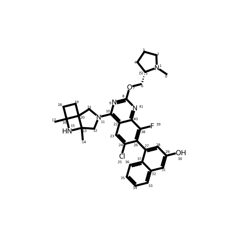 CN1CCC[C@H]1COc1nc(N2CC3(C)NC4(C)CCC43C2)c2cc(Cl)c(-c3cc(O)cc4ccccc34)c(F)c2n1